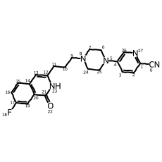 N#Cc1ccc(N2CCN(CCCc3cc4ccc(F)cc4c(=O)[nH]3)CC2)cn1